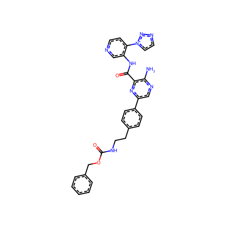 Nc1ncc(-c2ccc(CCNC(=O)OCc3ccccc3)cc2)nc1C(=O)Nc1cnccc1-n1ccnn1